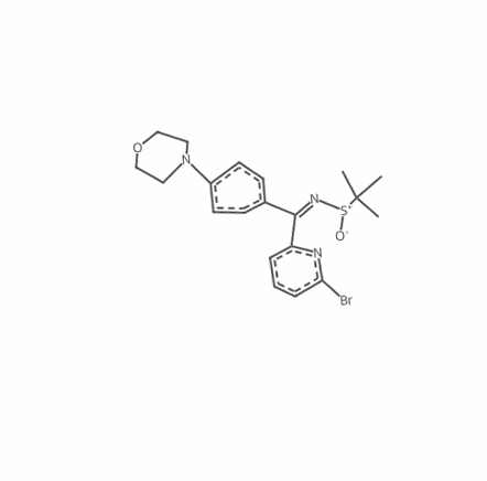 CC(C)(C)[S+]([O-])N=C(c1ccc(N2CCOCC2)cc1)c1cccc(Br)n1